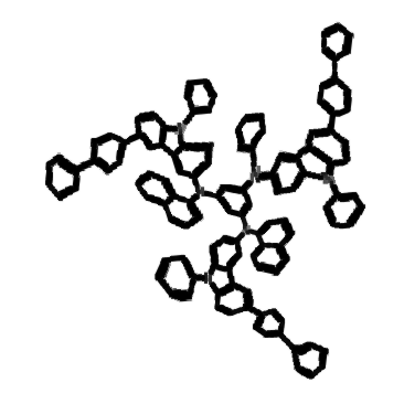 c1ccc(-c2ccc(-c3ccc4c(c3)c3cc(N(c5ccccc5)c5cc(N(c6ccc7c(c6)c6cc(-c8ccc(-c9ccccc9)cc8)ccc6n7-c6ccccc6)c6cccc7ccccc67)cc(N(c6ccc7c(c6)c6cc(-c8ccc(-c9ccccc9)cc8)ccc6n7-c6ccccc6)c6cccc7ccccc67)c5)ccc3n4-c3ccccc3)cc2)cc1